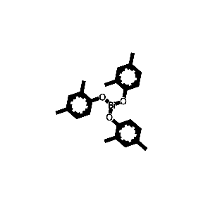 Cc1ccc([O][Bi]([O]c2ccc(C)cc2C)[O]c2ccc(C)cc2C)c(C)c1